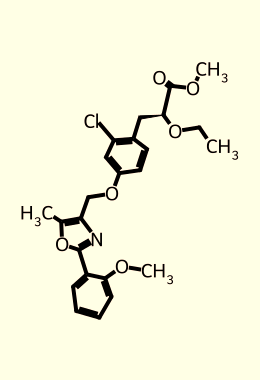 CCO[C@@H](Cc1ccc(OCc2nc(-c3ccccc3OC)oc2C)cc1Cl)C(=O)OC